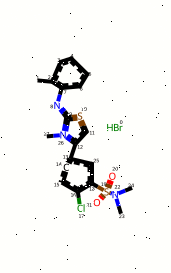 Br.Cc1ccccc1N=c1scc(-c2ccc(Cl)c(S(=O)(=O)N(C)C)c2)n1C